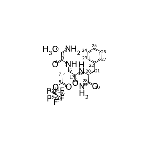 C[C@H](N)C(=O)N[C@@H](CC(=O)OS(F)(F)(F)(F)F)C(=O)N[C@@H](Cc1ccccc1)C(N)=O